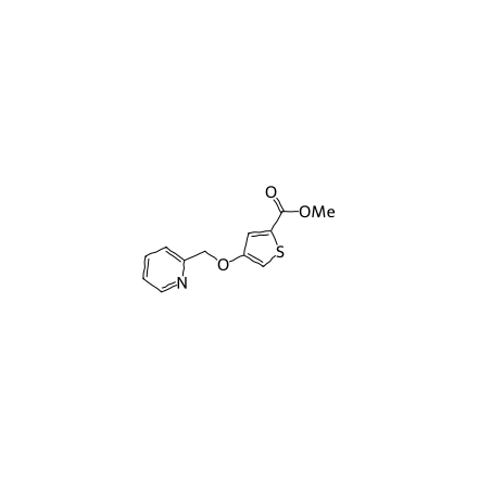 COC(=O)c1cc(OCc2ccccn2)cs1